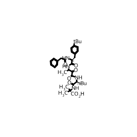 CC[C@H](C)C(NC(=O)C(=O)C(C)NC(=O)[C@H](Cc1ccc(C(C)(C)C)cc1)NC(=O)Cc1ccccc1)C(=O)NC(C)(C)C(=O)O